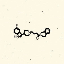 O=C(CCCN1CCC(c2c[nH]c3ccc(F)cc23)CC1)N1CCc2ccccc2C1